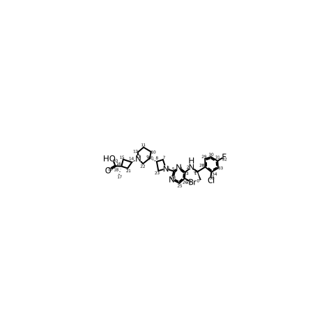 C[C@@H](Nc1nc(N2CC([C@H]3CCCN([C@H]4C[C@](C)(C(=O)O)C4)C3)C2)ncc1Br)c1ccc(F)cc1Cl